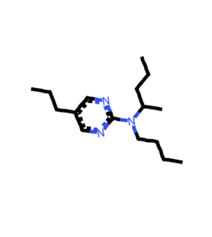 CCCCN(c1ncc(CCC)cn1)C(C)CCC